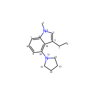 CCc1cn(C)c2cccc(N3CCCC3)c12